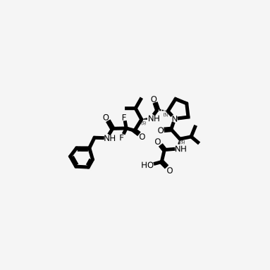 CC(C)[C@H](NC(=O)C(=O)O)C(=O)N1CCC[C@H]1C(=O)N[C@H](C(=O)C(F)(F)C(=O)NCc1ccccc1)C(C)C